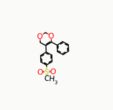 CS(=O)(=O)c1ccc(C2=C(c3ccccc3)OCOC2)cc1